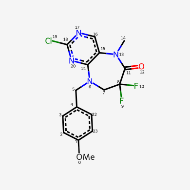 COc1ccc(CN2CC(F)(F)C(=O)N(C)c3cnc(Cl)nc32)cc1